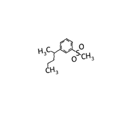 CCCC(C)c1cccc(S(C)(=O)=O)c1